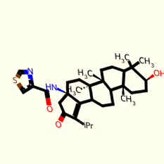 CC(C)C1=C2C3CCC4[C@@]5(C)CC[C@H](O)C(C)(C)C5CC[C@@]4(C)[C@]3(C)CC[C@@]2(NC(=O)c2cscn2)CC1=O